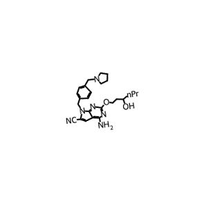 CCCC(O)CCOc1nc(N)c2cc(C#N)n(Cc3ccc(CN4CCCC4)cc3)c2n1